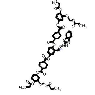 C=CC(=O)OCOc1cc(OC(=O)C2CCC(C(=O)Oc3ccc(OC(=O)C4CCC(C(=O)Oc5ccc(OC(=O)C=C)c(OCOC(=O)CC)c5)CC4)cc3/C=N/Nc3nc4ccccc4s3)CC2)ccc1OC(=O)C=C